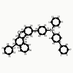 c1ccc(-c2ccc(N(c3ccccc3)c3ccc(-c4ccc5oc6cc(-c7ccccc7)c7ccccc7c6c5c4)cc3)cc2)cc1